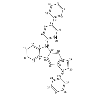 c1ccc(-c2ccc(-n3c4ccccc4c4cc5c(ccn5-c5ccccc5)cc43)nc2)cc1